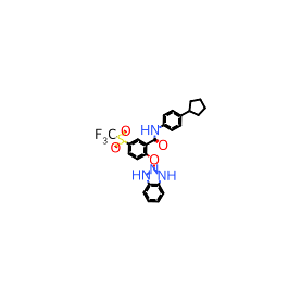 O=C(Nc1ccc(C2CCCC2)cc1)c1cc(S(=O)(=O)C(F)(F)F)ccc1ON1Nc2ccccc2N1